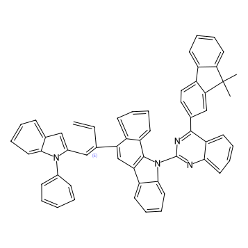 C=C/C(=C\c1cc2ccccc2n1-c1ccccc1)c1cc2c3ccccc3n(-c3nc(-c4ccc5c(c4)C(C)(C)c4ccccc4-5)c4ccccc4n3)c2c2ccccc12